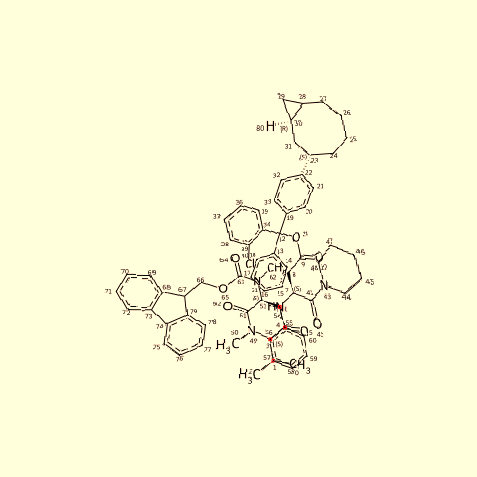 CC(C)[C@@H](C(=O)N[C@@H](CC(=O)OC(c1ccccc1)(c1ccc([C@H]2CCCCC3C[C@@H]3C2)cc1)c1ccccc1Cl)C(=O)N1CCCCC1)N(C)C(=O)[C@H](Cc1ccccc1)N(C)C(=O)OCC1c2ccccc2-c2ccccc21